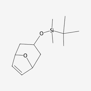 CC(C)(C)[Si](C)(C)OC1CC2C=CC(C1)O2